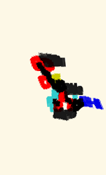 COc1cc2c(c(F)c1OCCCOc1c(OC)cc3sc(C(=O)CCC(=O)OC(C)(C)C)cc3c1F)CNC2.O=CC(F)(F)F